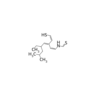 CCC(/C=C(/C=C\S)\C=C/NC=S)CC(C)C